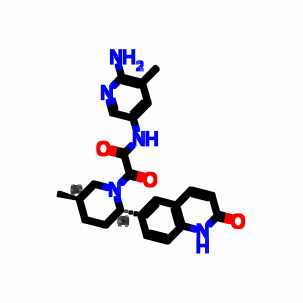 Cc1cc(NC(=O)C(=O)N2C[C@H](C)CC[C@H]2c2ccc3[nH]c(=O)ccc3c2)cnc1N